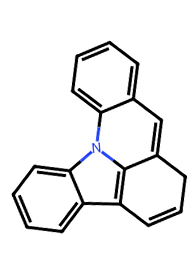 C1=Cc2c3ccccc3n3c2c(cc2ccccc23)C1